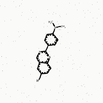 CN(C)c1ccc(-c2ncc3cc(Br)ccc3n2)cc1